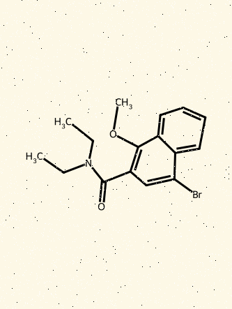 CCN(CC)C(=O)c1cc(Br)c2ccccc2c1OC